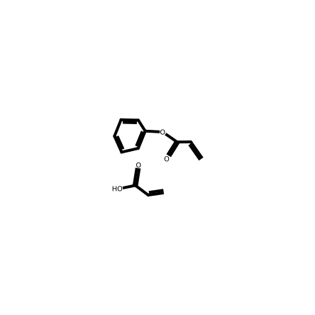 C=CC(=O)O.C=CC(=O)Oc1ccccc1